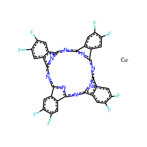 Fc1cc2c(cc1F)-c1nc-2nc2[nH]c(nc3nc(nc4[nH]c(n1)c1cc(F)c(F)cc41)-c1cc(F)c(F)cc1-3)c1cc(F)c(F)cc21.[Cu]